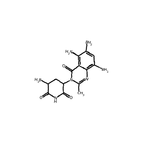 Bc1cc(B)c2nc(C)n(C3CC(B)C(=O)NC3=O)c(=O)c2c1N